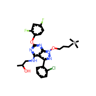 CC(O)CNc1nc(Oc2ccc(F)cc2F)nc2c1c(-c1ccccc1Cl)nn2OCCC[Si](C)(C)C